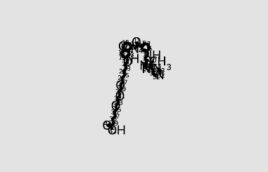 Cn1c(CNc2cccc(C(=O)N[C@H]3CCOc4ccc(OCCCCCCOCCOCCOCCCCCC(=O)O)cc43)c2)nnc1-c1ccncn1